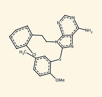 COc1ccc(C)cc1Sc1nc2c(N)ncnc2n1CCc1ccccc1Cl